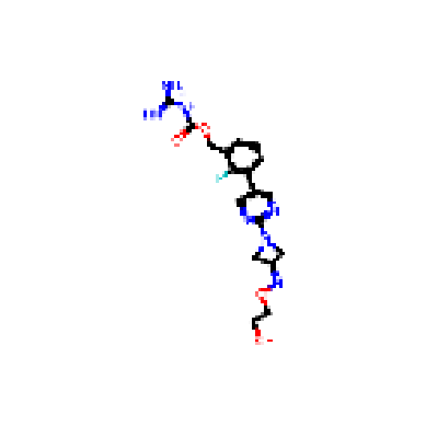 N=C(N)NC(=O)OCc1cccc(-c2cnc(N3CC(=NOCCO)C3)nc2)c1F